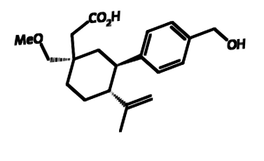 C=C(C)[C@@H]1CC[C@@](COC)(CC(=O)O)C[C@H]1c1ccc(CO)cc1